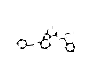 Cc1nc2c(OCc3cccnc3)cccn2c1C(=O)N[C@@H](CO)c1ccccc1